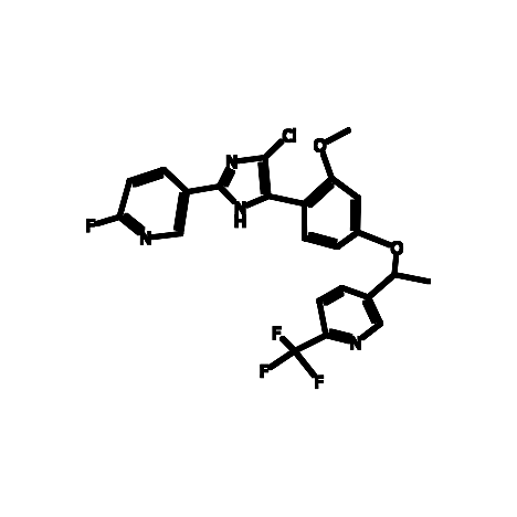 COc1cc(OC(C)c2ccc(C(F)(F)F)nc2)ccc1-c1[nH]c(-c2ccc(F)nc2)nc1Cl